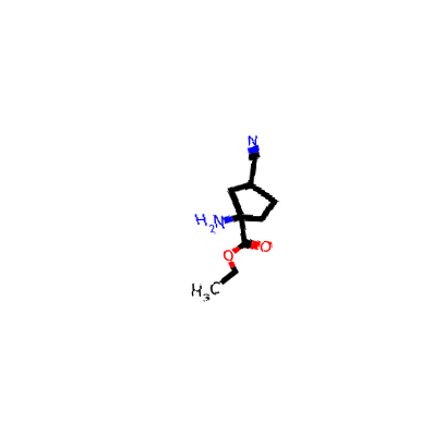 CCOC(=O)C1(N)CCC(C#N)C1